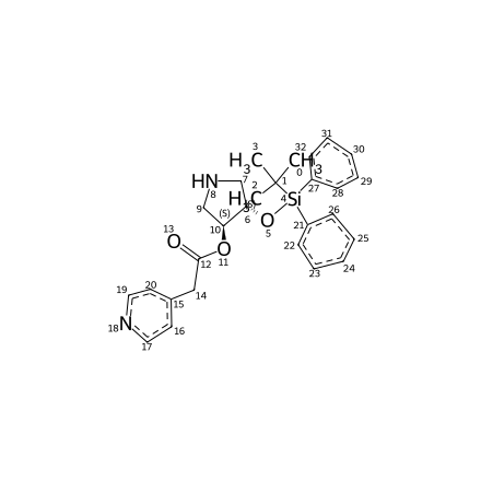 CC(C)(C)[Si](O[C@H]1CNC[C@@H]1OC(=O)Cc1ccncc1)(c1ccccc1)c1ccccc1